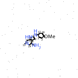 COc1ccc(Nc2cc3c([nH]2)CN(C)CC3N)cc1